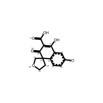 O=C(O)C1=C(O)c2cc(Cl)ccc2C2(CCOC2)C1=O